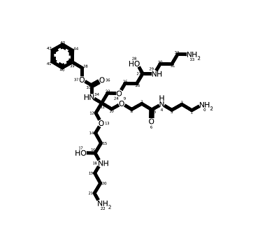 NCCCNC(=O)CCOCC(COCCC(O)NCCCN)(COCCC(O)NCCCN)NC(=O)OCc1ccccc1